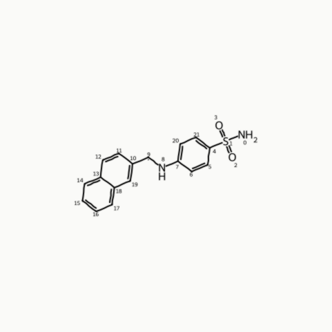 NS(=O)(=O)c1ccc(N[CH]c2ccc3ccccc3c2)cc1